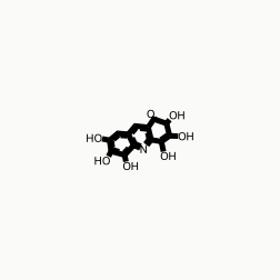 O=C1c2cc3cc(O)c(O)c(O)c3nc2C(O)=C(O)C1O